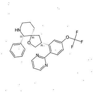 FC(F)(F)Oc1ccc(-c2ncccn2)c([C@@H]2CO[C@]3(CCCN[C@H]3c3ccccc3)C2)c1